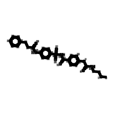 COCCNC(=O)Oc1ccc(C(=O)NS(=O)(=O)c2ccc(NC(=O)CCc3ccccc3)cc2)cn1